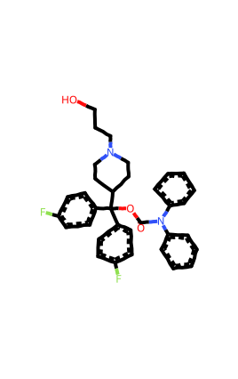 O=C(OC(c1ccc(F)cc1)(c1ccc(F)cc1)C1CCN(CCCO)CC1)N(c1ccccc1)c1ccccc1